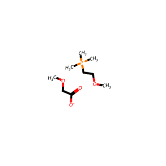 COCC(=O)[O-].COCC[P+](C)(C)C